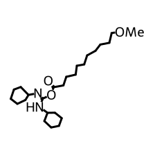 COCCCCCCCCCCC(=O)O/C(=N/C1CCCCC1)NC1CCCCC1